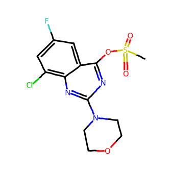 CS(=O)(=O)Oc1nc(N2CCOCC2)nc2c(Cl)cc(F)cc12